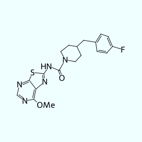 COc1ncnc2sc(NC(=O)N3CCC(Cc4ccc(F)cc4)CC3)nc12